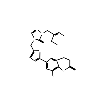 Cc1cc(-c2ccc(Cn3cnn(C/C(=C/F)CN)c3=O)s2)cc2c1NC(=O)CC2